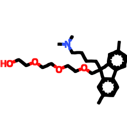 Cc1ccc2c(c1)C(CCCCN(C)C)(COCCOCCOCCO)c1cc(C)ccc1-2